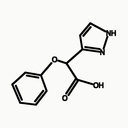 O=C(O)C(Oc1ccccc1)c1cc[nH]n1